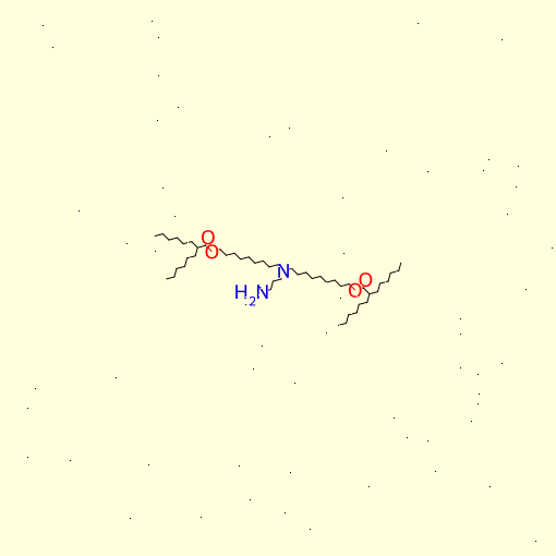 CCCCCCC(CCCCCC)C(=O)OCCCCCCCCCN(CCCN)CCCCCCCCCOC(=O)C(CCCCCC)CCCCCC